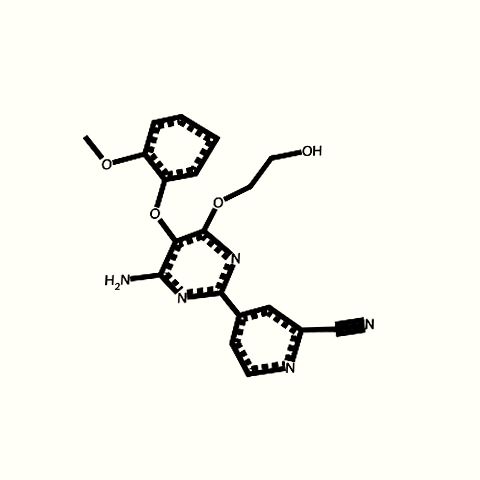 COc1ccccc1Oc1c(N)nc(-c2ccnc(C#N)c2)nc1OCCO